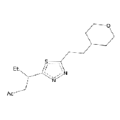 CCC(CC(C)=O)c1nnc(CCC2CCOCC2)s1